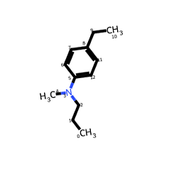 CCCN(C)c1ccc(CC)cc1